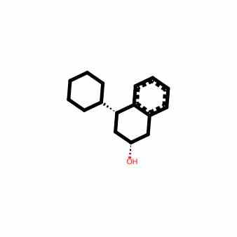 O[C@H]1Cc2ccccc2[C@@H](C2CCCCC2)C1